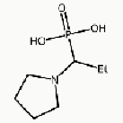 CCC(N1CCCC1)P(=O)(O)O